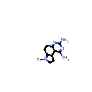 CC(C)n1ccc2c3c(N)nc(N)nc3ccc21